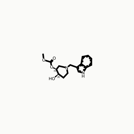 COC(=O)O[C@H]1CN(Cc2c[nH]c3ccccc23)CC[C@H]1O